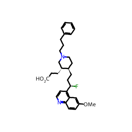 COc1ccc2nccc([C@H](F)CC[C@@H]3CCN(CCCc4ccccc4)C[C@H]3CCC(=O)O)c2c1